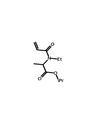 C=CC(=O)N(CC)C(C)C(=O)OC(C)C